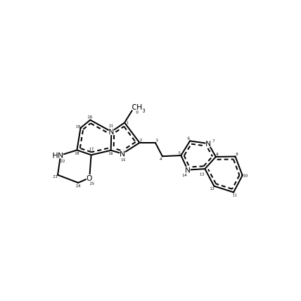 Cc1c(CCc2cnc3ccccc3n2)nc2c3c(ccn12)NCCO3